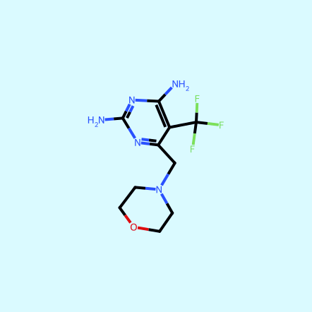 Nc1nc(N)c(C(F)(F)F)c(CN2CCOCC2)n1